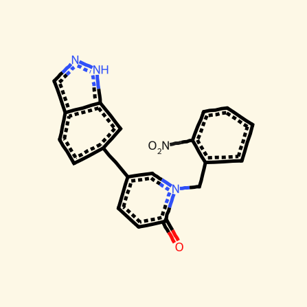 O=c1ccc(-c2ccc3cn[nH]c3c2)cn1Cc1ccccc1[N+](=O)[O-]